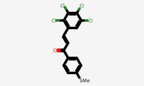 CSc1ccc(C(=O)/C=C/c2cc(Cl)c(Cl)c(Cl)c2Cl)cc1